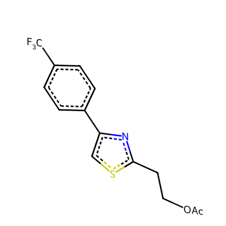 CC(=O)OCCc1nc(-c2ccc(C(F)(F)F)cc2)cs1